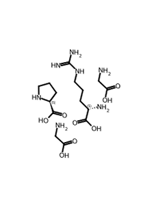 N=C(N)NCCC[C@H](N)C(=O)O.NCC(=O)O.NCC(=O)O.O=C(O)[C@@H]1CCCN1